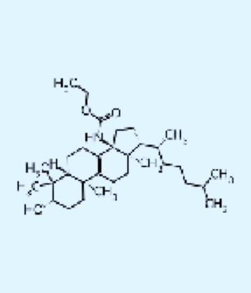 CCOC(=O)N[C@@]12CC[C@H]([C@H](C)CCCC(C)C)[C@@]1(C)CCC1=C2CC[C@H]2C(C)(C)[C@@H](O)CC[C@]12C